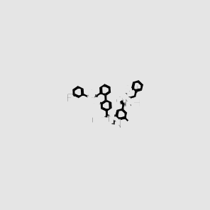 Cc1cc(C(=O)N[C@@H](CS)Cc2ccccc2)cc2c1ncn2C(c1ccc(-c2ccccc2C(=O)OCc2cccc(F)c2)cc1)C(C)C